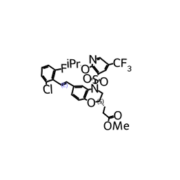 COC(=O)CC[C@H]1CN(S(=O)(=O)c2cc(C(F)(F)F)cnc2OC(C)C)c2cc(/C=C/c3c(F)cccc3Cl)ccc2O1